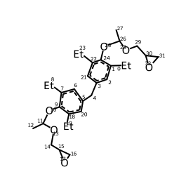 CCc1cc(Cc2cc(CC)c(OC(C)OCC3CO3)c(CC)c2)cc(CC)c1OC(C)OCC1CO1